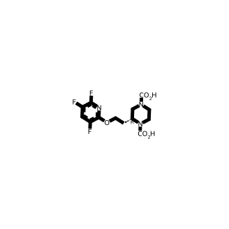 O=C(O)N1CCN(C(=O)O)[C@H](CCOc2nc(F)c(F)cc2F)C1